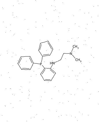 CN(C)CCNc1ccccc1P(c1ccccc1)c1ccccc1